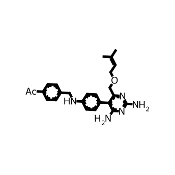 CC(=O)c1ccc(CNc2ccc(-c3c(N)nc(N)nc3COCC=C(C)C)cc2)cc1